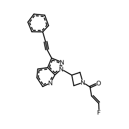 O=C(C=CF)N1CC(n2nc(C#Cc3ccccc3)c3cccnc32)C1